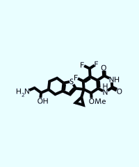 COC1c2[nH]c(=O)[nH]c(=O)c2C(C(F)F)=C(F)C1(c1cc2c(s1)CCC(C(O)CN)C2)C1CC1